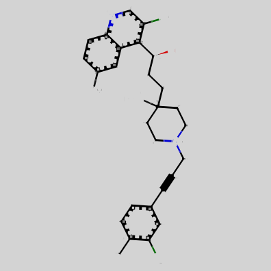 COc1ccc2ncc(Cl)c([C@@H](O)CCC3(C(=O)O)CCN(CC#Cc4ccc(C)c(F)c4)CC3)c2c1